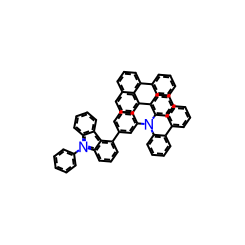 c1ccc(-c2ccccc2N(c2cccc(-c3cccc4c3c3ccccc3n4-c3ccccc3)c2)c2ccccc2-c2cccc3cccc(-c4ccccc4)c23)cc1